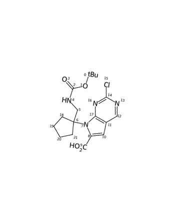 CC(C)(C)OC(=O)NCC1(n2c(C(=O)O)cc3cnc(Cl)nc32)CCCC1